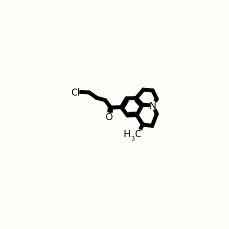 CC1CCN2CCCc3cc(C(=O)CCCCl)cc1c32